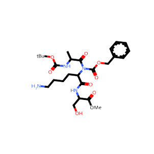 COC(=O)C(CO)NC(=O)C(CCCCN)N(C(=O)OCc1ccccc1)C(=O)C(C)NC(=O)OC(C)(C)C